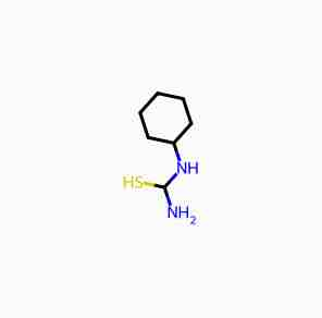 NC(S)NC1CCCCC1